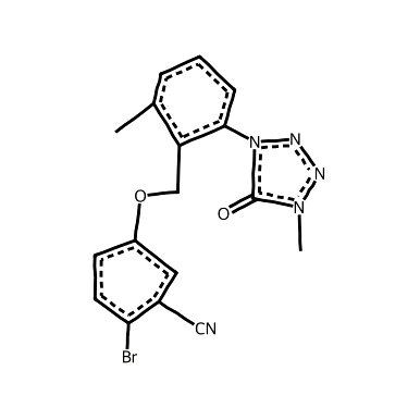 Cc1cccc(-n2nnn(C)c2=O)c1COc1ccc(Br)c(C#N)c1